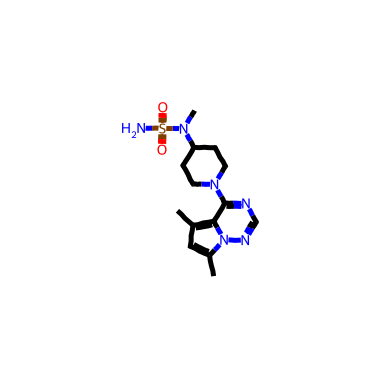 Cc1cc(C)n2ncnc(N3CCC(N(C)S(N)(=O)=O)CC3)c12